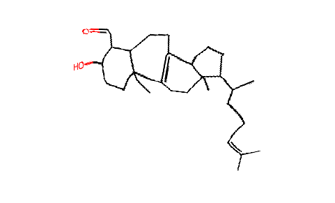 CC(C)=CCCC(C)C1CCC2C3=C(CCC21C)C1(C)CCC(O)C(C=O)C1CC3